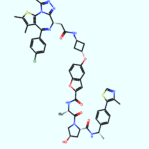 Cc1ncsc1-c1ccc([C@H](C)NC(=O)[C@@H]2C[C@@H](O)CN2C(=O)[C@@H](NC(=O)c2cc3cc(O[C@H]4C[C@H](NC(=O)C[C@@H]5N=C(c6ccc(Cl)cc6)c6c(sc(C)c6C)-n6c(C)nnc65)C4)ccc3o2)C(C)(C)C)cc1